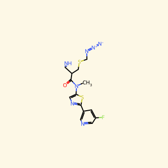 CN(C(=O)C(C=N)CSCN=[N+]=[N-])c1cnc(-c2cncc(F)c2)s1